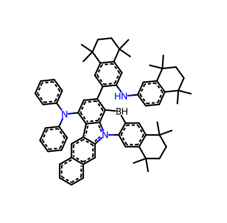 CC1(C)CCC(C)(C)c2cc(Nc3cc4c(cc3-c3cc(N(c5ccccc5)c5ccccc5)c5c6cc7ccccc7cc6n6c5c3Bc3cc5c(cc3-6)C(C)(C)CCC5(C)C)C(C)(C)CCC4(C)C)ccc21